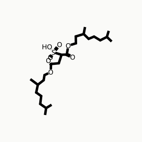 CC(C)CCCC(C)CCOC(=O)CC(C(=O)OCCC(C)CCCC(C)C)S(=O)(=O)O